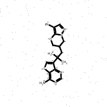 CC(C)c1cnn2c1OCC(CC(C)(C)c1csc3c(N)ncnc13)C2